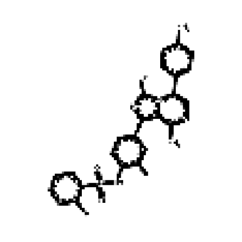 CC(C)c1nc(-c2ccc(NS(=O)(=O)c3ccccc3Cl)c(F)c2)c2c(N)ncc(-c3ccc(N)cc3)n12